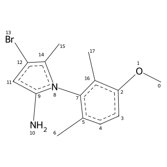 COc1ccc(C)c(-n2c(N)cc(Br)c2C)c1C